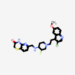 COc1ccc2ncc(Cl)c(CCN3CC[C@H](NCc4ccc5c(n4)NC(=O)CS5)[C@H](F)C3)c2c1